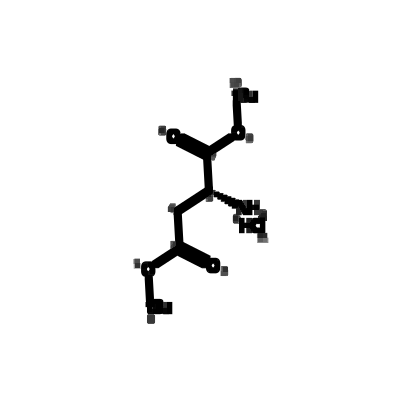 CC(C)(C)OC(=O)C[C@@H](N)C(=O)OC(C)(C)C.Cl